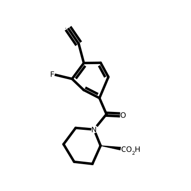 [C]#Cc1ccc(C(=O)N2CCCC[C@@H]2C(=O)O)cc1F